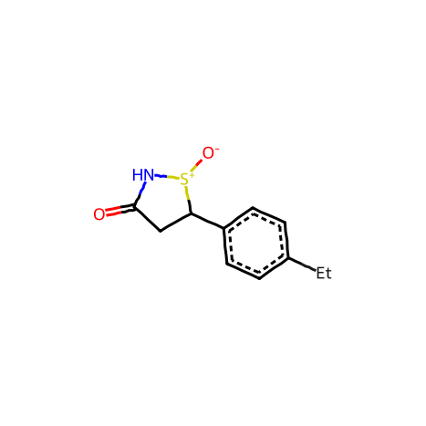 CCc1ccc(C2CC(=O)N[S+]2[O-])cc1